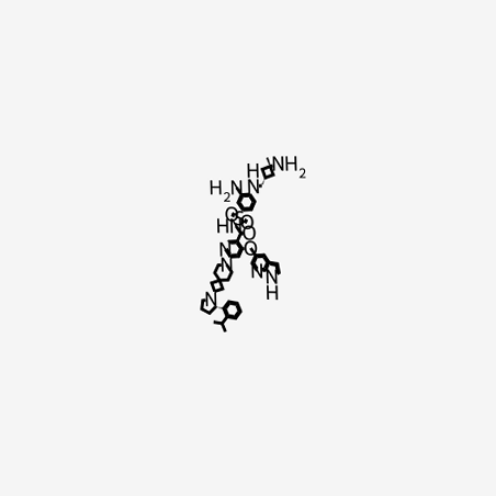 CC(C)c1ccccc1[C@@H]1CCCN1C1CC2(CCN(c3cc(Oc4cnc5[nH]ccc5c4)c(C(=O)NS(=O)(=O)c4ccc(NC[C@H]5C[C@@](C)(N)C5)c(N)c4)cn3)CC2)C1